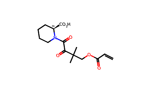 C=CC(=O)OCC(C)(C)C(=O)C(=O)N1CCCC[C@H]1C(=O)O